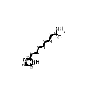 NC(=O)CCCCCCCc1n[c]c[nH]1